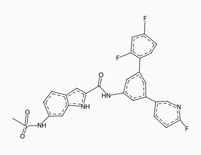 CS(=O)(=O)Nc1ccc2cc(C(=O)Nc3cc(-c4ccc(F)nc4)cc(-c4ccc(F)cc4F)c3)[nH]c2c1